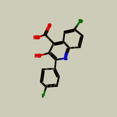 O=C(O)c1c(O)c(-c2ccc(F)cc2)nc2ccc(Br)cc12